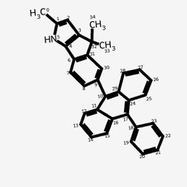 Cc1cc2c([nH]1)-c1ccc(-c3c4ccccc4c(-c4ccccc4)c4ccccc34)cc1C2(C)C